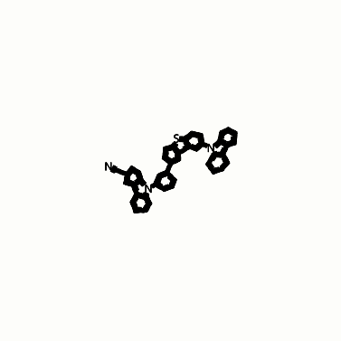 N#Cc1ccc2c(c1)c1ccccc1n2-c1cccc(-c2ccc3sc4ccc(-n5c6ccccc6c6ccccc65)cc4c3c2)c1